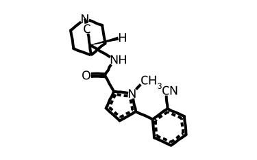 Cn1c(C(=O)N[C@H]2CN3CCC2CC3)ccc1-c1ccccc1C#N